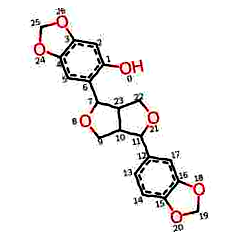 Oc1cc2c(cc1C1OCC3C(c4ccc5c(c4)OCO5)OCC13)OCO2